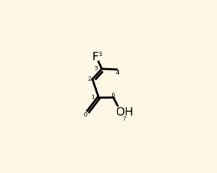 C=C(/C=C(\C)F)CO